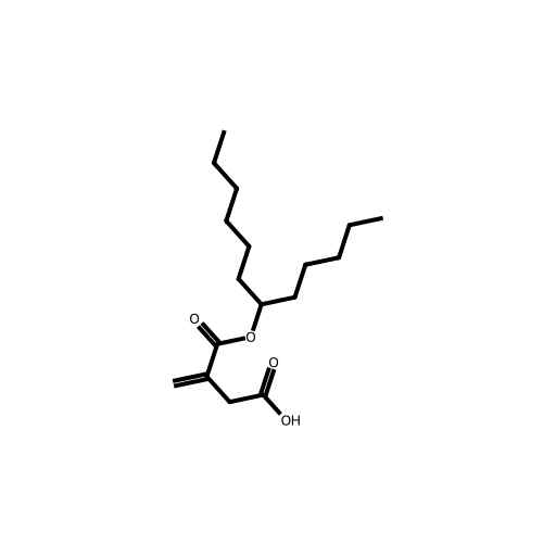 C=C(CC(=O)O)C(=O)OC(CCCCC)CCCCCC